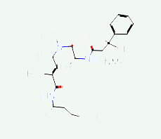 CN[C@H](C(=O)N[C@H](C(=O)N(C)[C@H](/C=C(\C)C(=O)N[C@H](C)CCC(=O)O)C(C)C)C(C)(C)C)C(C)(C)c1ccccc1